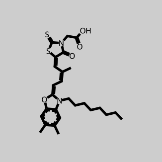 CCCCCCCCN1C(=CC=C(C)C=C2SC(=S)N(CC(=O)O)C2=O)Oc2cc(C)c(C)cc21